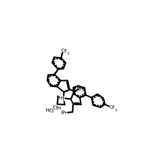 CC(C)CC1=Cc2c(-c3ccc(C(F)(F)F)cc3)cccc2[CH]1[Hf]1([CH]2C(CC(C)C)=Cc3c(-c4ccc(C(F)(F)F)cc4)cccc32)[CH2]C[CH2]1.Cl.Cl